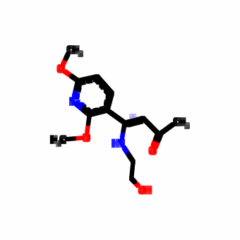 COc1ccc(/C(=C/C(C)=O)NCCO)c(OC)n1